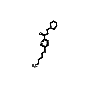 CCCCCSc1ccc(C(=O)CCN2CCCCC2)cc1